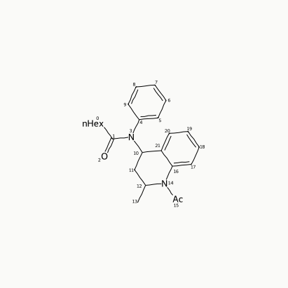 CCCCCCC(=O)N(c1ccccc1)C1CC(C)N(C(C)=O)c2ccccc21